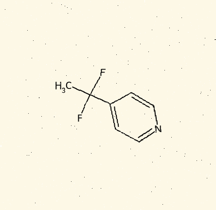 CC(F)(F)c1ccncc1